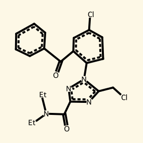 CCN(CC)C(=O)c1nc(CCl)n(-c2ccc(Cl)cc2C(=O)c2ccccc2)n1